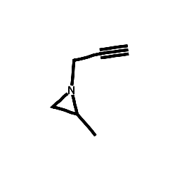 C#CCN1CC1C